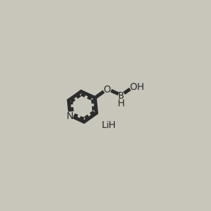 OBOc1ccncc1.[LiH]